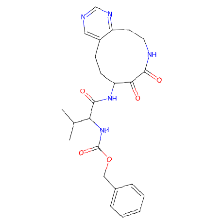 CC(C)C(NC(=O)OCc1ccccc1)C(=O)NC1CCc2cncnc2CCNC(=O)C1=O